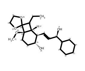 CCC1[C@@H]2[C@@H](/C=C/[C@@H](O)C3CCCCC3)[C@H](O)CC[C@]2(OC)C12OCCO2